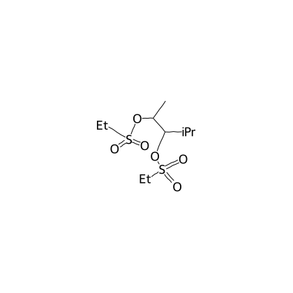 CCS(=O)(=O)OC(C)C(OS(=O)(=O)CC)C(C)C